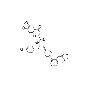 O=C(N[C@@H](C=C1CCN(c2ccccc2CN2CCCC2=O)CC1)Cc1ccc(Cl)cc1)c1cc(=O)c2cc3c(cc2o1)OCO3